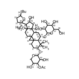 CC(=O)OC1C(O)COC(O[C@H]2CCC34CC35CC[C@]3(C)C([C@@]6(C)CCC(C(C)(C)C)O6)[C@@H](O)C[C@@]3(C)C5C[C@H](OC3OC(CO)C(O)C(O)C3O)C4C2(C)C)C1O